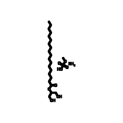 CCCCCCCCCCCCCCCCCC(=O)OC(CO)CO.COS(=O)(=O)O.N